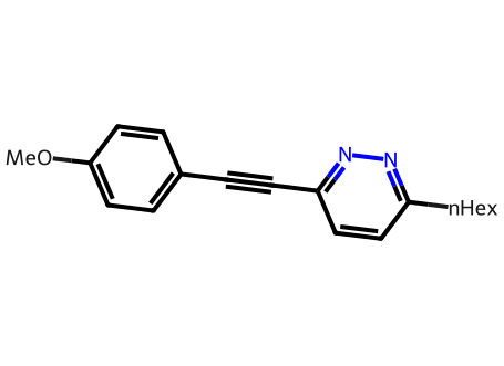 CCCCCCc1ccc(C#Cc2ccc(OC)cc2)nn1